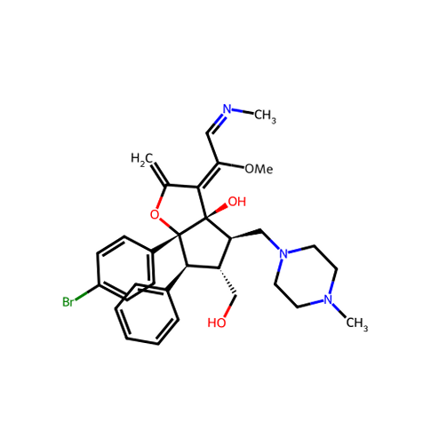 C=C1O[C@@]2(c3ccc(Br)cc3)[C@H](c3ccccc3)[C@@H](CO)[C@H](CN3CCN(C)CC3)[C@@]2(O)/C1=C(/C=N\C)OC